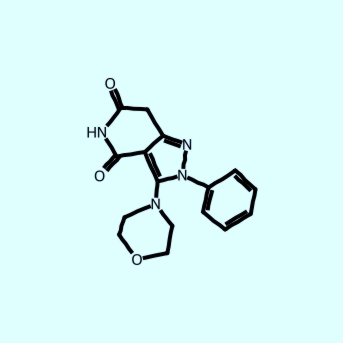 O=C1Cc2nn(-c3ccccc3)c(N3CCOCC3)c2C(=O)N1